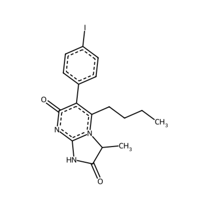 CCCCc1c(-c2ccc(I)cc2)c(=O)nc2n1C(C)C(=O)N2